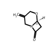 C=C1CO[C@H]2CC(=O)N2C1